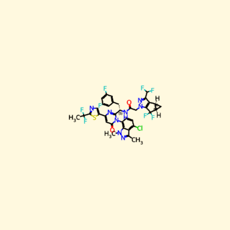 Cc1nn(C)c2c(-n3c([C@H](Cc4cc(F)cc(F)c4)NC(=O)Cn4nc(C(F)F)c5c4C(F)(F)[C@@H]4C[C@H]54)nc(-c4cnc(C(C)(F)F)s4)cc3=O)ccc(Cl)c12